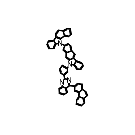 c1cc(-c2nc(-c3ccc4ccc5ccccc5c4c3)c3ccccc3n2)cc(-n2c3ccccc3c3cc4ccc(-n5c6ccccc6c6ccc7ccccc7c65)cc4cc32)c1